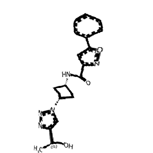 C[C@H](O)c1cn([C@H]2C[C@@H](NC(=O)c3cc(-c4ccccc4)on3)C2)nn1